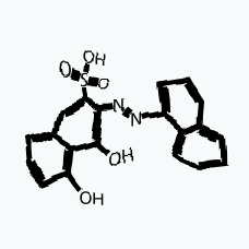 O=S(=O)(O)c1cc2cccc(O)c2c(O)c1N=Nc1cccc2ccccc12